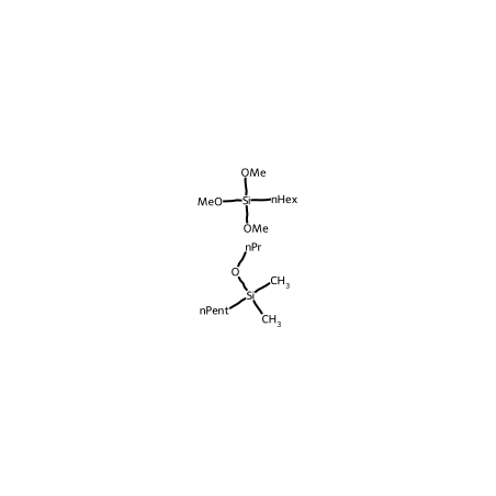 CCCCCC[Si](OC)(OC)OC.CCCCC[Si](C)(C)OCCC